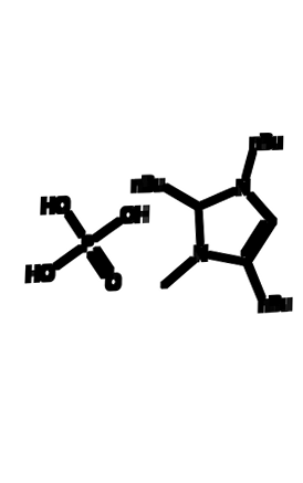 CCCCC1=CN(CCCC)C(CCCC)N1C.O=P(O)(O)O